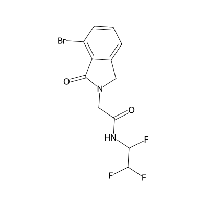 O=C(CN1Cc2cccc(Br)c2C1=O)NC(F)C(F)F